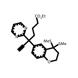 C#CC(CCCC(=O)OCC)(c1ccc2c(c1)C(SC)(SC)CCO2)c1ncccn1